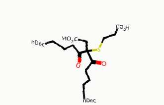 CCCCCCCCCCCCCC(=O)C(CC(=O)O)(SCCC(=O)O)C(=O)CCCCCCCCCCCCC